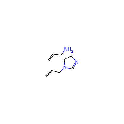 C=CCN.C=CCN1C=NCC1